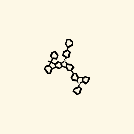 CC1(c2ccccc2)c2ccccc2-c2cc3c4cc(-c5ccc6c(c5)c5ccccc5n6-c5ccccc5)ccc4n(-c4ccc(C5=CC=CCC5)cc4)c3cc21